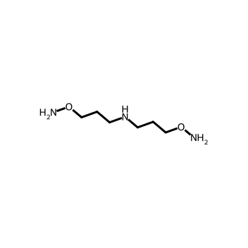 NOCCCNCCCON